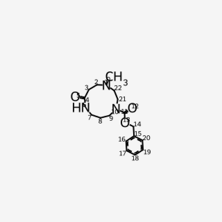 CN1CCC(=O)NCCCN(C(=O)OCc2ccccc2)CC1